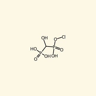 O=P(O)(O)C(O)P(=O)(O)OCl